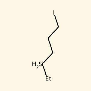 CC[SiH2]CCCI